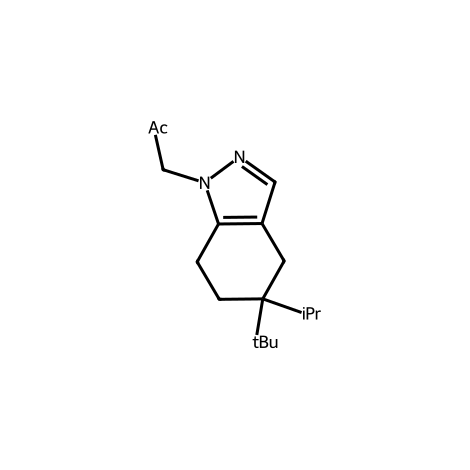 CC(=O)Cn1ncc2c1CCC(C(C)C)(C(C)(C)C)C2